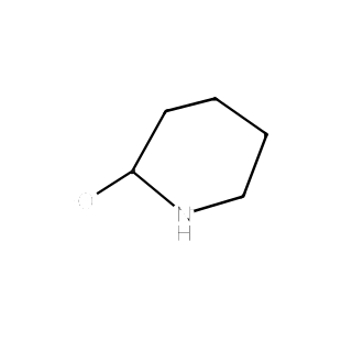 [O]C1CCCCN1